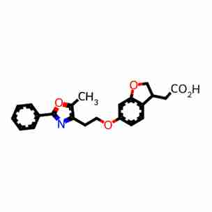 Cc1oc(-c2ccccc2)nc1CCOc1ccc2c(c1)OCC2CC(=O)O